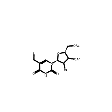 CC(=O)OC[C@@H]1O[C@H](n2cc(CF)c(=O)[nH]c2=O)C(Br)C1OC(C)=O